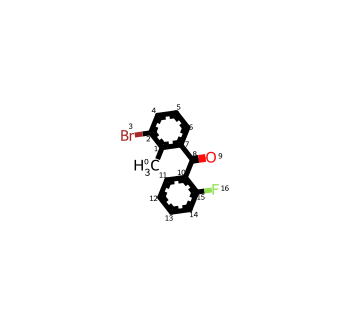 Cc1c(Br)cccc1C(=O)c1ccccc1F